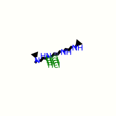 CN(CCCNC/C=C/CNCCCNC1CC1)C1CC1.Cl.Cl.Cl.Cl